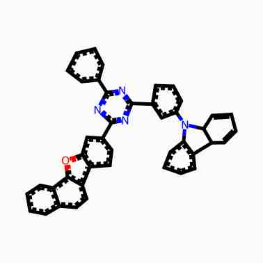 C1=CC2c3ccccc3N(c3cccc(-c4nc(-c5ccccc5)nc(-c5ccc6c(c5)oc5c7ccccc7ccc65)n4)c3)C2C=C1